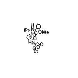 CCO[C@@H]1OC(=O)C[C@@H]1NC(=O)[C@@H]1CCCN1C(=O)[C@@H](NC(=O)c1ccccc1OC)C(C)C